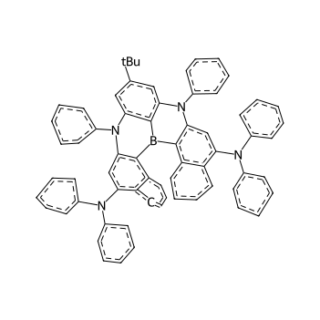 CC(C)(C)c1cc2c3c(c1)N(c1ccccc1)c1cc(N(c4ccccc4)c4ccccc4)c4ccccc4c1B3c1c(cc(N(c3ccccc3)c3ccccc3)c3ccccc13)N2c1ccccc1